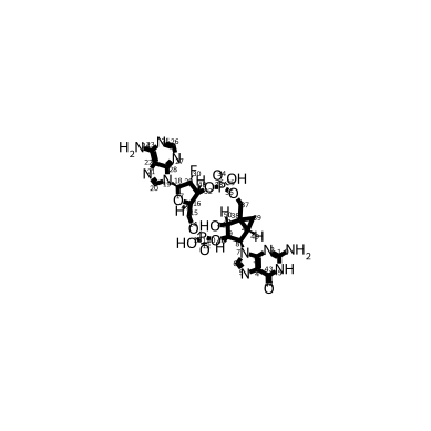 Nc1nc2c(ncn2[C@H]2[C@@H]3OP(=O)(O)OC[C@H]4O[C@@H](n5cnc6c(N)ncnc65)[C@H](F)[C@@H]4OP(=O)(O)OCC4(C[C@H]24)[C@H]3O)c(=O)[nH]1